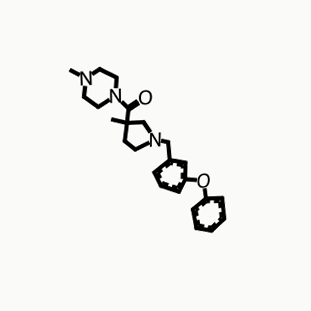 CN1CCN(C(=O)C2(C)CCN(Cc3cccc(Oc4ccccc4)c3)C2)CC1